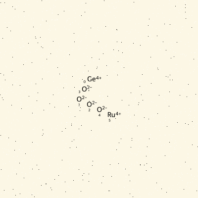 [Ge+4].[O-2].[O-2].[O-2].[O-2].[Ru+4]